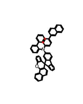 c1ccc(-c2ccccc2N(c2ccc(-c3ccc4ccccc4c3)cc2)c2ccc3c(c2)C2(c4ccccc4Oc4c2ccc2ccccc42)c2ccccc2-3)cc1